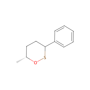 C[C@@H]1CCC(c2ccccc2)SO1